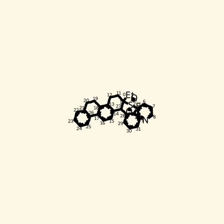 CCC1(S(=O)(=O)c2cccnc2)CCc2c(ccc3c2CCc2ccccc2-3)C1c1ccccc1F